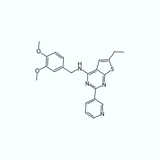 CCc1cc2c(NCc3ccc(OC)c(OC)c3)nc(-c3cccnc3)nc2s1